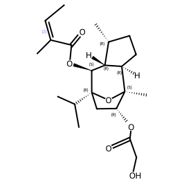 C/C=C(/C)C(=O)O[C@H]1[C@@H]2[C@H](C)CC[C@H]2[C@]2(C)O[C@@]1(C(C)C)C[C@H]2OC(=O)CO